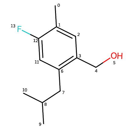 Cc1cc(CO)c(CC(C)C)cc1F